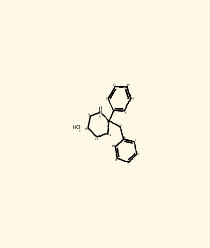 Cl.c1ccc(CC2(c3ccccc3)CCCCN2)cc1